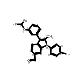 Cc1c(-c2cccc(OC(F)F)c2)c2ccc(C=O)cc2n1-c1ccc(F)cc1